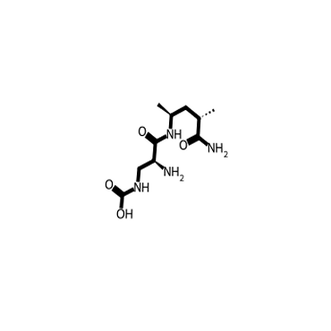 C[C@@H](C[C@H](C)C(N)=O)NC(=O)[C@@H](N)CNC(=O)O